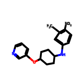 O=[N+]([O-])c1ccc(NC2CCC(Oc3cccnc3)CC2)cc1C(F)(F)F